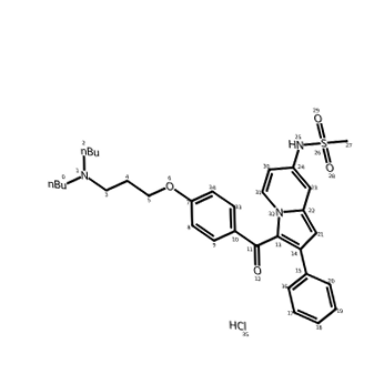 CCCCN(CCCC)CCCOc1ccc(C(=O)c2c(-c3ccccc3)cc3cc(NS(C)(=O)=O)ccn23)cc1.Cl